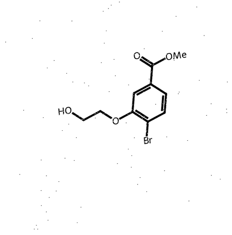 COC(=O)c1ccc(Br)c(OCCO)c1